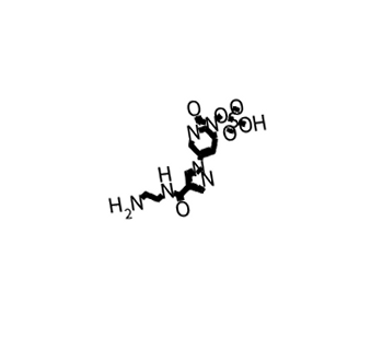 NCCNC(=O)c1cnn(C2=CC3CN(C2)C(=O)N3OS(=O)(=O)O)c1